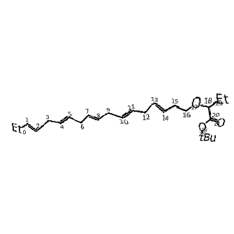 CCC=CCC=CCC=CCC=CCC=CCCOC(CC)C(=O)OC(C)(C)C